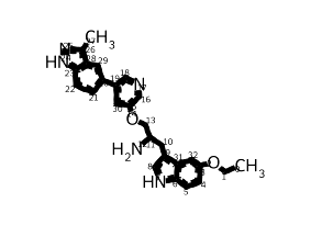 CCOc1ccc2[nH]cc(CC(N)COc3cncc(-c4ccc5[nH]nc(C)c5c4)c3)c2c1